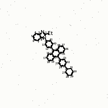 CCc1nc2ccccc2n1-c1ccc(-c2c3ccccc3c(-c3ccc(C4C=CC=CC4)cc3)c3ccccc23)cc1